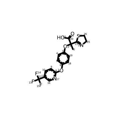 CC(Oc1ccc(Oc2ccc(C(F)(F)F)cn2)cc1)(C(=O)O)C1=NCCS1